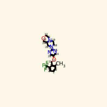 Cc1cccc(C(F)(F)F)c1COc1cnc(N2CCN3CCOCC3C2)nc1